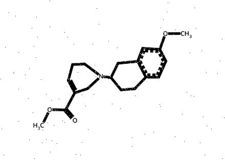 COC(=O)C1=CCCN(C2CCc3ccc(OC)cc3C2)C1